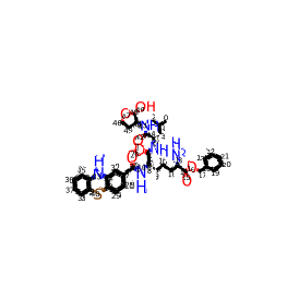 CC(C)C[C@H](NC(=O)[C@H](CCCC(N)C(=O)OCc1ccccc1)NC(=O)c1ccc2c(c1)Nc1ccccc1S2)C(=O)N[C@H]1CCOC1O